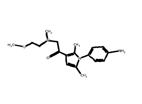 COCCN(C)CC(=O)c1cc(C)n(-c2ccc(N)cc2)c1C